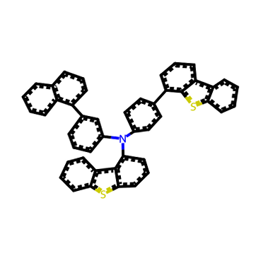 c1cc(-c2cccc3ccccc23)cc(N(c2ccc(-c3cccc4c3sc3ccccc34)cc2)c2cccc3sc4ccccc4c23)c1